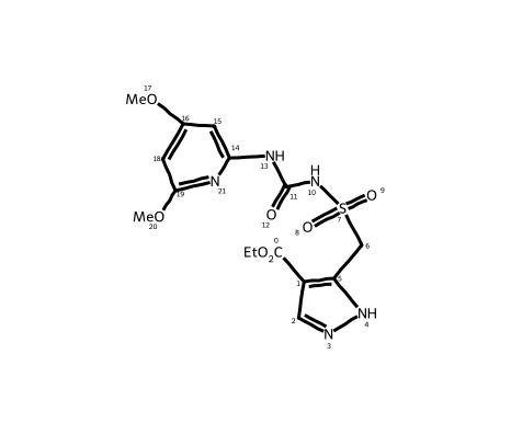 CCOC(=O)c1cn[nH]c1CS(=O)(=O)NC(=O)Nc1cc(OC)cc(OC)n1